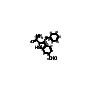 NC(=O)c1[nH]c2cc(C=O)ccc2c1Sc1ccccc1